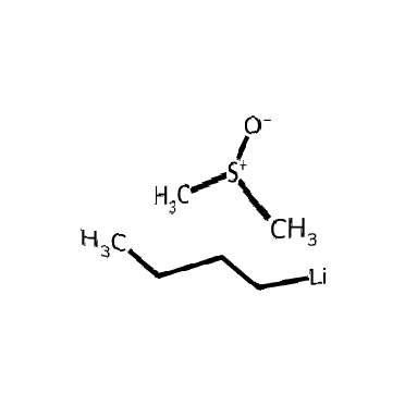 C[S+](C)[O-].[Li][CH2]CCC